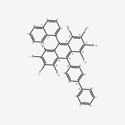 Fc1c(F)c(F)c2c(-c3cccc4ccccc34)c3c(F)c(F)c(F)c(F)c3c(-c3ccc(-c4ccccc4)cc3)c2c1F